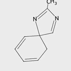 CC1=NC2(C=CC=CC2)C=N1